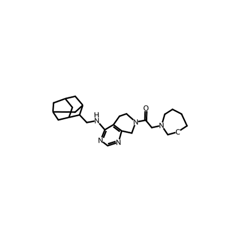 O=C(CN1CCCCCC1)N1CCc2c(ncnc2NCC2C3CC4CC(C3)CC2C4)C1